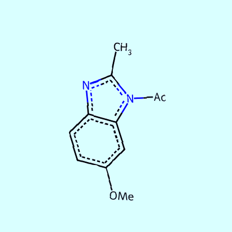 COc1ccc2nc(C)n(C(C)=O)c2c1